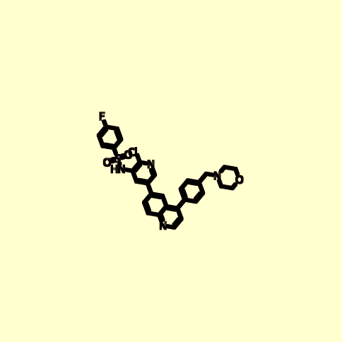 O=S(=O)(Nc1cc(-c2ccc3nccc(-c4ccc(CN5CCOCC5)cc4)c3c2)cnc1Cl)c1ccc(F)cc1